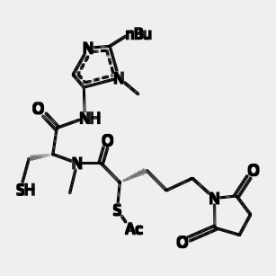 CCCCc1ncc(NC(=O)[C@@H](CS)N(C)C(=O)[C@H](CCCN2C(=O)CCC2=O)SC(C)=O)n1C